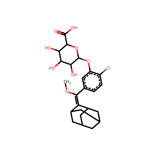 COC(=C1C2CC3CC(C2)CC1C3)c1ccc(Cl)c(OC2OC(C(=O)O)C(O)C(O)C2O)c1